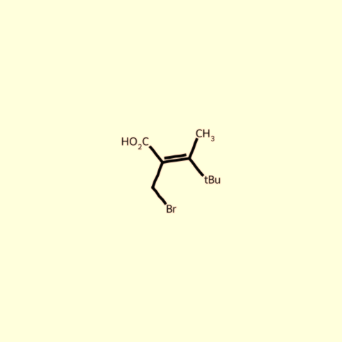 CC(=C(CBr)C(=O)O)C(C)(C)C